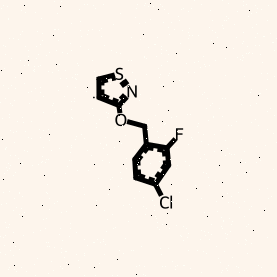 Fc1cc(Cl)ccc1COc1[c]csn1